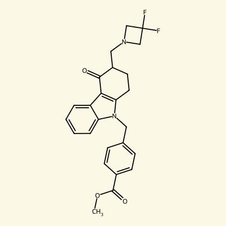 COC(=O)c1ccc(Cn2c3c(c4ccccc42)C(=O)C(CN2CC(F)(F)C2)CC3)cc1